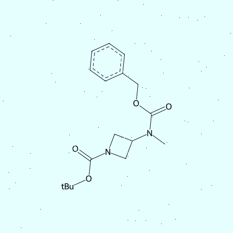 CN(C(=O)OCc1ccccc1)C1CN(C(=O)OC(C)(C)C)C1